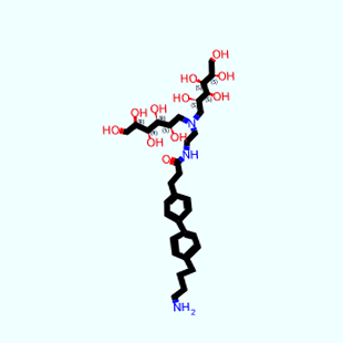 NCCCCc1ccc(-c2ccc(CCC(=O)NCCN(C[C@H](O)[C@H](O)[C@@H](O)[C@@H](O)CO)C[C@H](O)[C@@H](O)[C@H](O)[C@H](O)CO)cc2)cc1